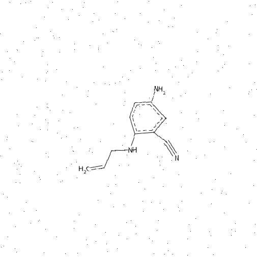 C=CCNc1ccc(N)cc1C#N